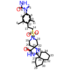 Cc1cc(N(C)C(N)=O)cc(C)c1CCS(=O)(=O)N1CCC2(CC1)N=C(C13CCCCC1CCCC3)NC2=O